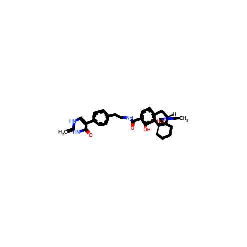 C=C1NC=C(c2ccc(CCNC(=O)c3ccc4c(c3O)[C@@]35CCCC[C@@]3(O)[C@@H](C4)N(C)CC5)cc2)C(=O)N1